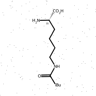 CCC(C)C(=O)NCCCC[C@H](N)C(=O)O